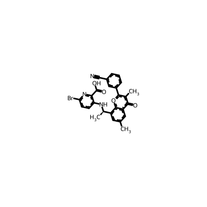 Cc1cc([C@@H](C)Nc2ccc(Br)nc2C(=O)O)c2oc(-c3cccc(C#N)c3)c(C)c(=O)c2c1